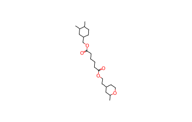 CC1CC(CCOC(=O)CCCCC(=O)OCC2CCC(C)C(C)C2)CCO1